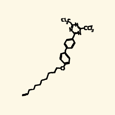 C=CCCCCCCCCCOc1ccc(-c2ccc(-c3nc(C(Cl)(Cl)Cl)nc(C(Cl)(Cl)Cl)n3)cc2)cc1